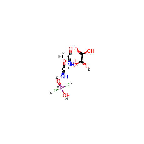 N=C=O.N=C=O.O=C(O)C(=O)O.O=P(O)(F)F.[LiH]